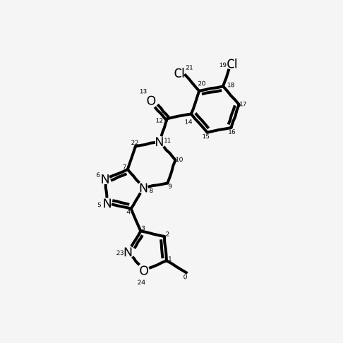 Cc1cc(-c2nnc3n2CCN(C(=O)c2cccc(Cl)c2Cl)C3)no1